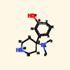 CN(C)C1(c2cccc(O)c2)CCNCC1